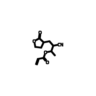 C=CC(=O)OC(C)C(C#N)CC1CCOC1=O